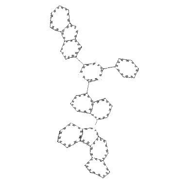 c1ccc(-c2nc(-c3ccc4c(c3)oc3ccccc34)nc(-c3cccc4c(-n5c6ccccc6c6c7ccccc7ccc65)cccc34)n2)cc1